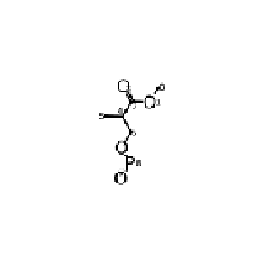 COC(=O)C(C)COP=O